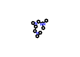 c1ccc(-c2cc(-c3cccc(-n4c5ccccc5c5cc(-c6cccc(-n7c8ccccc8c8ccccc87)c6)ccc54)c3)nc(-c3ccccc3)n2)cc1